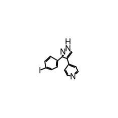 Ic1ccc(-c2n[nH]cc2-c2ccncc2)cc1